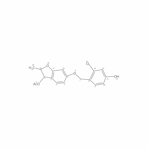 CC(=O)OC1c2ccc(OCc3ccc(O)cc3Cl)cc2OC1C